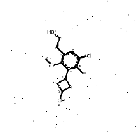 COc1c(CCO)cc(Cl)c(C)c1C1CC(O)C1